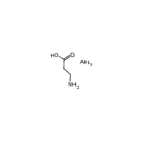 NCCC(=O)O.[AlH3]